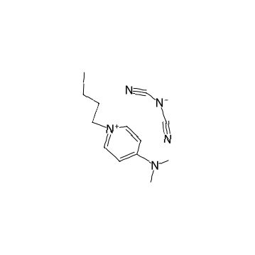 CCCC[n+]1ccc(N(C)C)cc1.N#C[N-]C#N